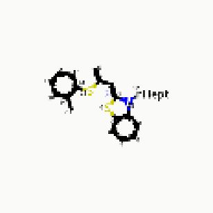 C=C(/C=C1\Sc2ccccc2N1CCCCCCC)Sc1ccccc1C